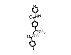 Cc1ccc(C(=O)NCC(N)c2ccc(C(=O)Nc3ccncc3)cc2)cc1